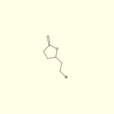 O=C1CCC(CCBr)O1